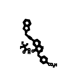 O=C(O)C(F)(F)F.O=C(O)c1ccc(Cn2cnc3ccc(C#CCN4Cc5ccccc5C4)cc3c2=O)cc1